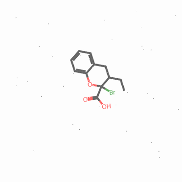 CCC1Cc2ccccc2OC1(Br)C(=O)O